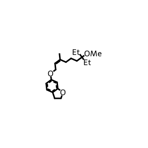 CCC(CC)(CCCC(C)=CCOc1ccc2c(c1)OCC2)OC